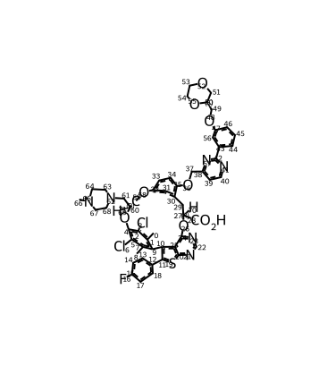 Cc1c(Cl)c2c(Cl)c(C)c1-c1c(-c3ccc(F)cc3)sc3ncnc(c13)O[C@@H](C(=O)O)Cc1cc(ccc1OCc1ccnc(-c3cccc(OC[C@@H]4COCCO4)c3)n1)OC[C@@H](CN1CCN(C)CC1)O2